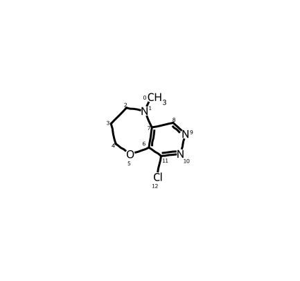 CN1CCCOc2c1cnnc2Cl